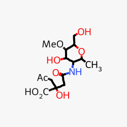 COC1C(CO)OC(C)C(NC(=O)CC(O)(CC(C)=O)C(=O)O)C1O